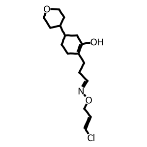 OC1=C(CCC=NOC/C=C/Cl)CCC(C2CCOCC2)C1